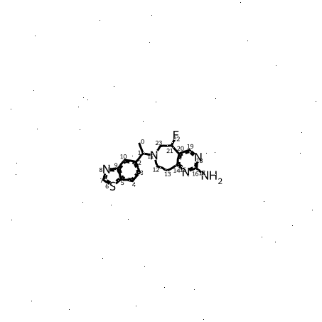 CC(c1ccc2scnc2c1)N1CCc2nc(N)ncc2C(F)C1